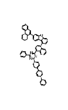 C1=Cc2c(c(-c3ccc4c(c3)oc3cccc(-c5ccc(-c6nc(-c7ccccc7)nc(-c7ccc(-c8ccc(-c9ccccc9)cc8)cc7)n6)c6ccccc56)c34)cc3ccccc23)CC1